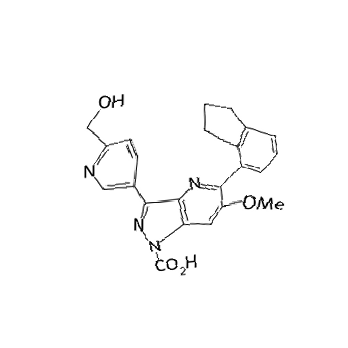 COc1cc2c(nc1-c1cccc3c1CCC3)c(-c1ccc(CO)nc1)nn2C(=O)O